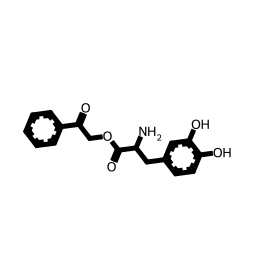 NC(Cc1ccc(O)c(O)c1)C(=O)OCC(=O)c1ccccc1